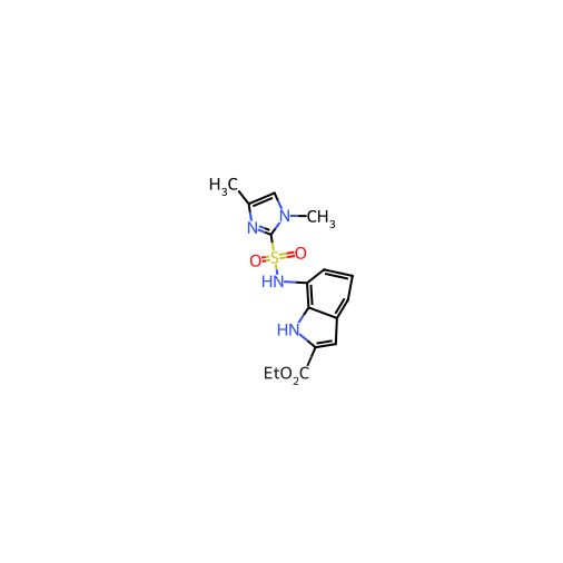 CCOC(=O)c1cc2cccc(NS(=O)(=O)c3nc(C)cn3C)c2[nH]1